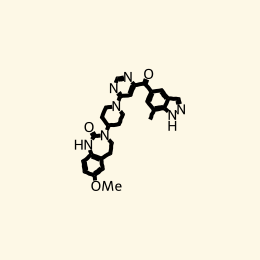 COc1ccc2c(c1)CCN(C1CCN(c3cc(C(=O)c4cc(C)c5[nH]ncc5c4)ncn3)CC1)C(=O)N2